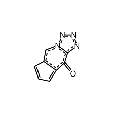 O=c1c2c(cn3nnnc13)C=CC=2